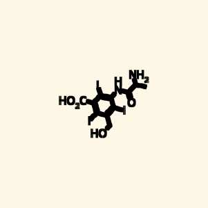 CC(N)C(=O)Nc1c(I)c(CO)c(I)c(C(=O)O)c1I